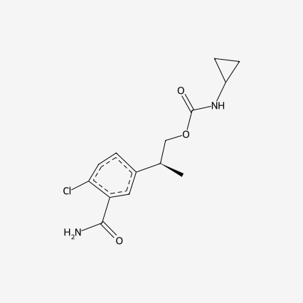 C[C@H](COC(=O)NC1CC1)c1ccc(Cl)c(C(N)=O)c1